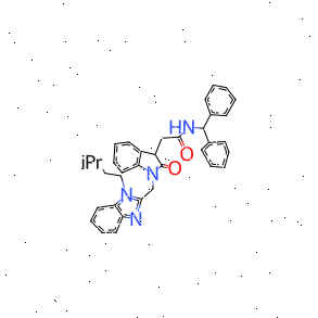 CC(C)CCn1c(CN2C(=O)C(CC(=O)NC(c3ccccc3)c3ccccc3)c3ccccc32)nc2ccccc21